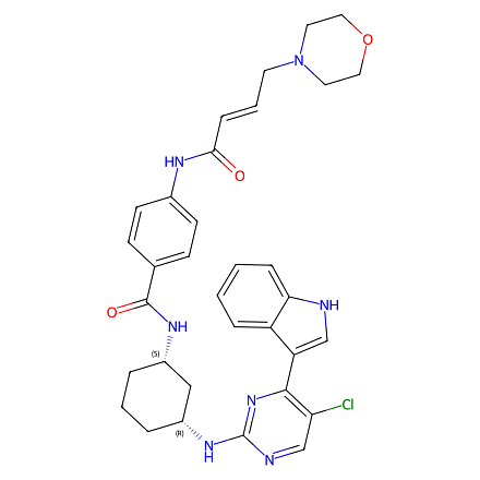 O=C(C=CCN1CCOCC1)Nc1ccc(C(=O)N[C@H]2CCC[C@@H](Nc3ncc(Cl)c(-c4c[nH]c5ccccc45)n3)C2)cc1